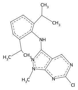 CC(C)c1cccc(C(C)C)c1Nc1nn(C)c2nc(Cl)ncc12